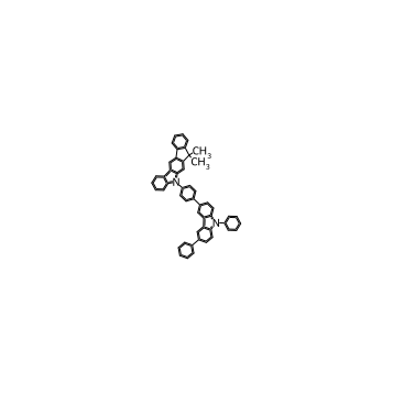 CC1(C)c2ccccc2-c2cc3c4ccccc4n(-c4ccc(-c5ccc6c(c5)c5cc(-c7ccccc7)ccc5n6-c5ccccc5)cc4)c3cc21